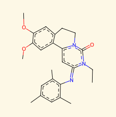 CCn1c(=Nc2c(C)cc(C)cc2C)cc2n(c1=O)CCc1cc(OC)c(OC)cc1-2